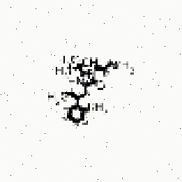 C/C=C(/C[C@H]1NC(C(C)(C)C)N(CCCC)C1=O)c1ccccc1C